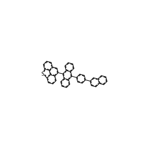 c1ccc2cc(-c3ccc(-c4c5ccccc5c(-c5cc6cccc7sc8cccc5c8c67)c5ccccc45)cc3)ccc2c1